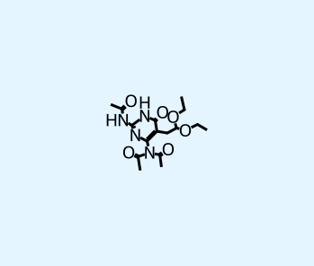 CCOC(Cc1c(N(C(C)=O)C(C)=O)nc(NC(C)=O)[nH]c1=O)OCC